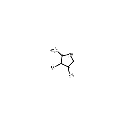 CC1CNC(C(=O)O)C1C